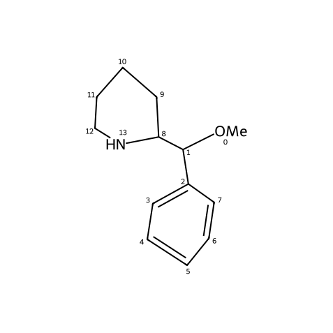 COC(c1ccccc1)C1CCCCN1